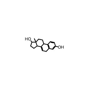 CC12CCC3C(=CCc4cc(O)ccc43)C1CCC2O